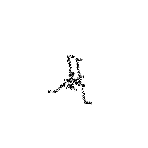 COCCOCCOCCOCCNC(=O)CN(CC(=O)NCCOCCOCCOCCOC)C(=O)CN(CC(=O)N(CC(=O)NCCOCCOCCOCCOC)CC(=O)NCCOCCOCCOCCOC)C(=O)COCC(CC(F)(F)F)(CC(F)(F)F)CC(F)(F)F